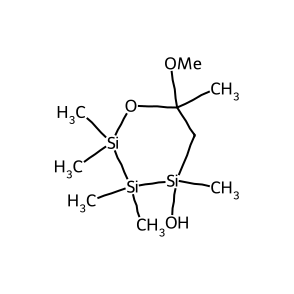 COC1(C)C[Si](C)(O)[Si](C)(C)[Si](C)(C)O1